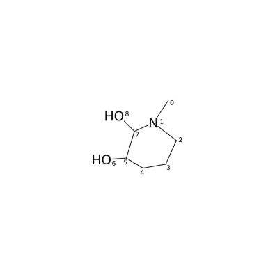 CN1CCCC(O)C1O